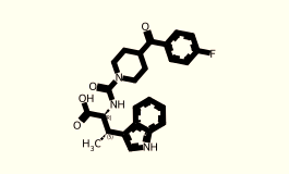 C[C@@H](c1c[nH]c2ccccc12)[C@@H](NC(=O)N1CCC(C(=O)c2ccc(F)cc2)CC1)C(=O)O